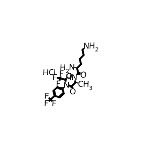 C[C@H](NC(=O)[C@@H](N)CCCCN)C(=O)N(C(=O)C(F)(F)F)c1ccc(C(F)(F)F)cc1.Cl